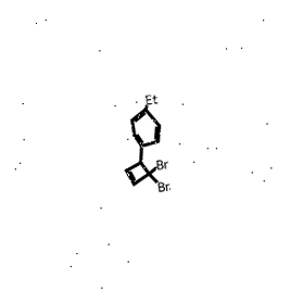 CCc1ccc(C2C=CC2(Br)Br)cc1